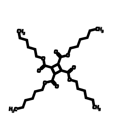 CCCCCCOC(=O)C1C(C(=O)OCCCCCC)C(C(=O)OCCCCCC)C1C(=O)OCCCCCC